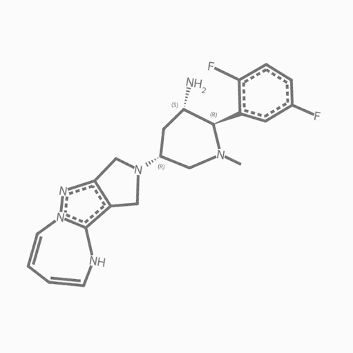 CN1C[C@H](N2Cc3nn4c(c3C2)NC=CC=C4)C[C@H](N)[C@H]1c1cc(F)ccc1F